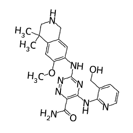 COc1cc2c(cc1Nc1nnc(C(N)=O)c(Nc3ncccc3CO)n1)CNCC2(C)C